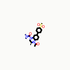 CC(=O)N1C2CCC(C3CCC(S(C)(=O)=O)CC3)CC2N(C(=O)N(C)C)C[C@@H]1C